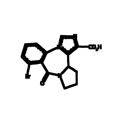 O=C(O)c1ncn2c1C1CCCN1C(=O)c1c(Br)cccc1-2